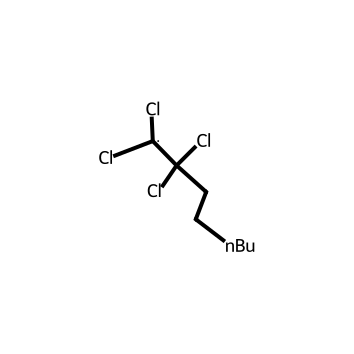 CCCCCCC(Cl)(Cl)[C](Cl)Cl